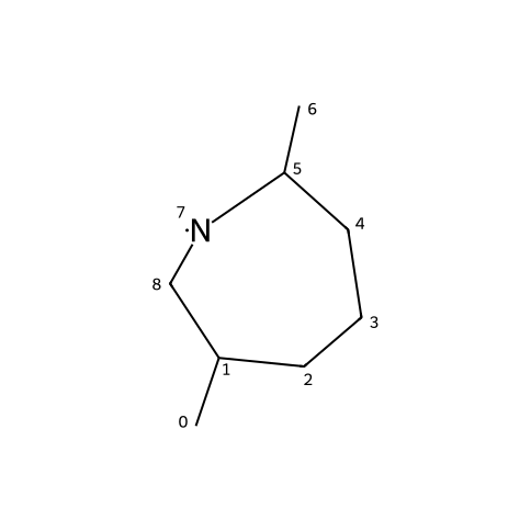 CC1CCCC(C)[N]C1